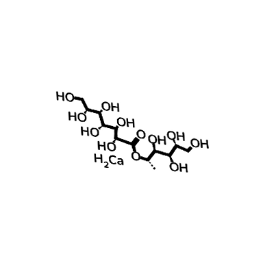 C[C@H](OC(=O)[C@H](O)[C@H](O)[C@H](O)[C@@H](O)[C@H](O)CO)[C@@H](O)[C@H](O)[C@H](O)CO.[CaH2]